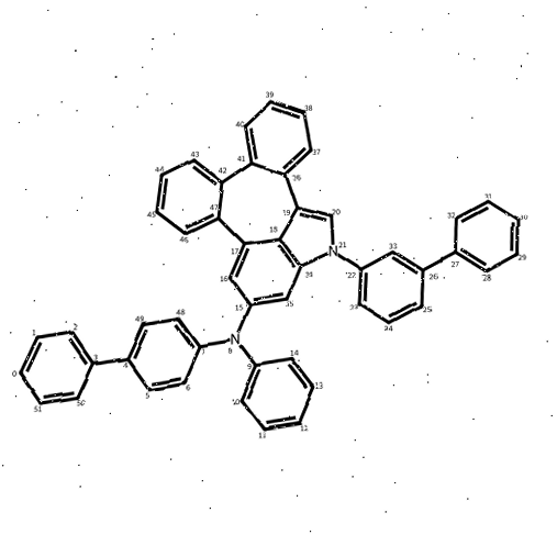 c1ccc(-c2ccc(N(c3ccccc3)c3cc4c5c(cn(-c6cccc(-c7ccccc7)c6)c5c3)-c3ccccc3-c3ccccc3-4)cc2)cc1